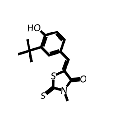 CN1C(=O)C(=Cc2ccc(O)c(C(C)(C)C)c2)SC1=S